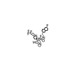 O=C(NC(CN1CCCC1)C(O)c1ccc(OCC(F)(F)F)nc1)C(F)(F)CCc1ccc2cc(F)ccc2c1